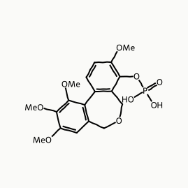 COc1ccc2c(c1OP(=O)(O)O)COCc1cc(OC)c(OC)c(OC)c1-2